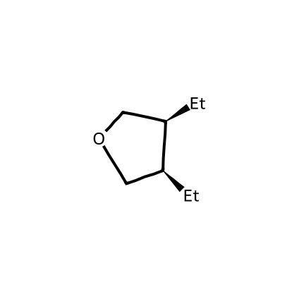 CC[C@@H]1COC[C@@H]1CC